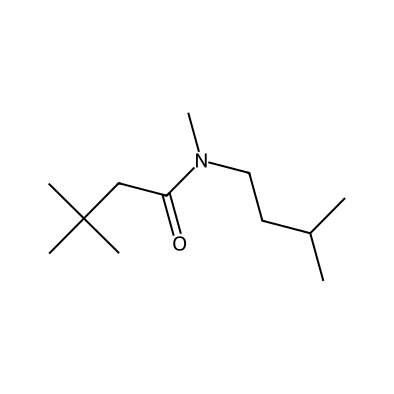 CC(C)CCN(C)C(=O)CC(C)(C)C